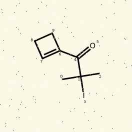 CC(C)(I)C(=O)C1=CCC1